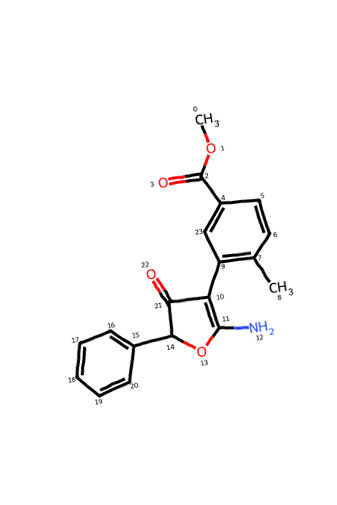 COC(=O)c1ccc(C)c(C2=C(N)OC(c3ccccc3)C2=O)c1